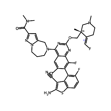 CN1CC/C(=C\F)[C@](C)(COc2nc(N3CCCn4nc(C(=O)N(C)C)cc4C3)c3cc(Cl)c(-c4c(F)ccc5sc(N)c(C#N)c45)c(F)c3n2)C1